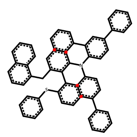 c1ccc(Sc2ccccc2-c2c(Cc3cccc4ccccc34)cccc2N(c2ccc(-c3ccccc3)cc2)c2ccc(-c3ccccc3)cc2-c2ccccc2)cc1